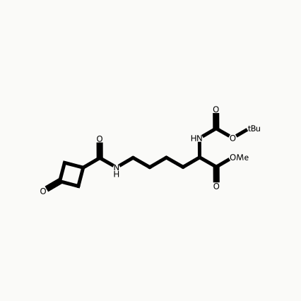 COC(=O)C(CCCCNC(=O)C1CC(=O)C1)NC(=O)OC(C)(C)C